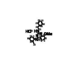 COc1cccc2c(Nc3ccccc3C)nc(NCCc3ccccc3)nc12.Cl